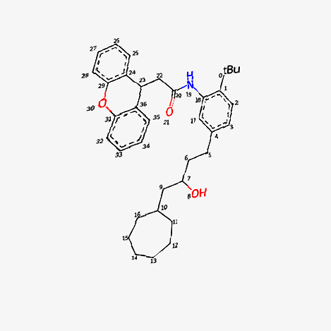 CC(C)(C)c1ccc(CCC(O)CC2CCCCCC2)cc1NC(=O)CC1c2ccccc2Oc2ccccc21